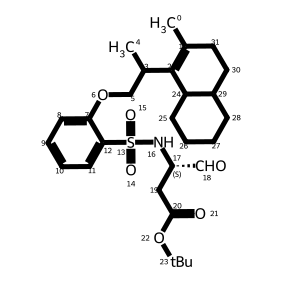 CC1=C(C(C)COc2ccccc2S(=O)(=O)N[C@H](C=O)CC(=O)OC(C)(C)C)C2CCCCC2CC1